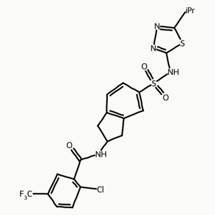 CC(C)c1nnc(NS(=O)(=O)c2ccc3c(c2)CC(NC(=O)c2cc(C(F)(F)F)ccc2Cl)C3)s1